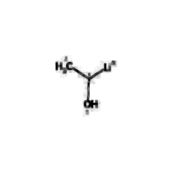 [Li][CH](C)O